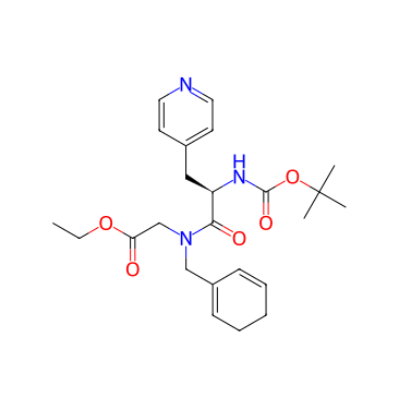 CCOC(=O)CN(CC1=CCCC=C1)C(=O)[C@@H](Cc1ccncc1)NC(=O)OC(C)(C)C